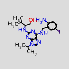 CC(C)C(CO)Nc1nc(NCc2cc(I)ccc2N)c2ncn(C(C)C)c2n1